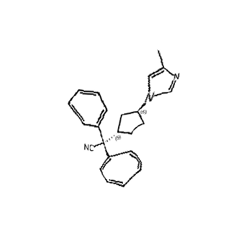 Cc1cn([C@H]2CC[C@H](C(C#N)(c3ccccc3)c3ccccc3)C2)cn1